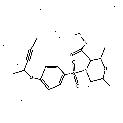 CC#CC(C)Oc1ccc(S(=O)(=O)N2CC(C)OC(C)C2C(=O)NO)cc1